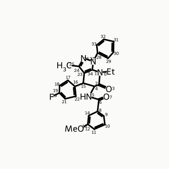 CCN1C(=O)C(NC(=O)c2cccc(OC)c2)C(c2ccc(F)cc2)c2c(C)nn(-c3ccccc3)c21